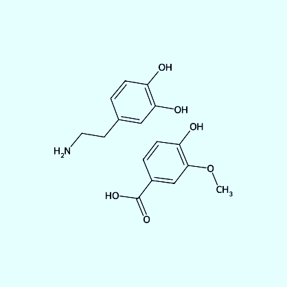 COc1cc(C(=O)O)ccc1O.NCCc1ccc(O)c(O)c1